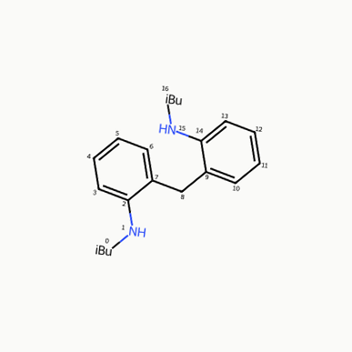 CCC(C)Nc1ccccc1Cc1ccccc1NC(C)CC